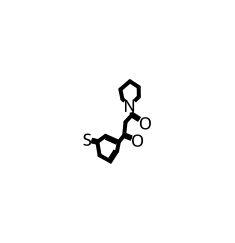 O=C(CC(=O)N1CCCCC1)C1=CC(=S)CC=C1